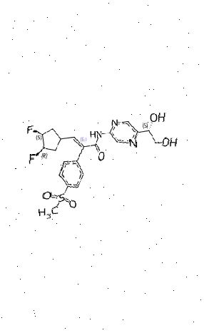 CS(=O)(=O)c1ccc(/C(=C\C2C[C@@H](F)[C@@H](F)C2)C(=O)Nc2cnc([C@H](O)CO)cn2)cc1